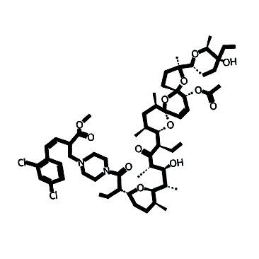 CCC(C(=O)N1CCN(CC(/C=C\c2ccc(Cl)cc2Cl)C(=O)OC)CC1)[C@H]1CC[C@H](C)[C@H]([C@@H](C)[C@H](O)[C@H](C)C(=O)[C@H](CC)[C@H]2O[C@]3(C=C[C@@H](OC(C)=O)[C@]4(CC[C@@](C)([C@H]5CC[C@](O)(CC)[C@H](C)O5)O4)O3)[C@H](C)C[C@@H]2C)O1